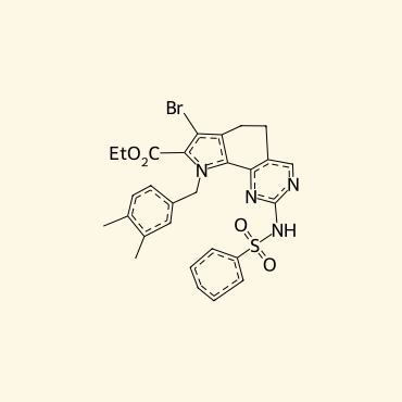 CCOC(=O)c1c(Br)c2c(n1Cc1ccc(C)c(C)c1)-c1nc(NS(=O)(=O)c3ccccc3)ncc1CC2